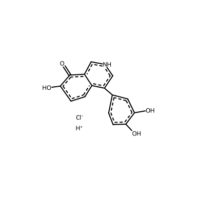 O=c1c(O)ccc2c(-c3ccc(O)c(O)c3)c[nH]cc1-2.[Cl-].[H+]